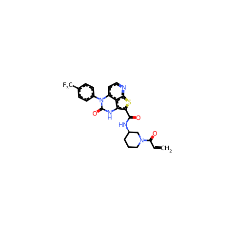 C=CC(=O)N1CCC[C@@H](NC(=O)c2sc3nccc4c3c2NC(=O)N4c2ccc(C(F)(F)F)cc2)C1